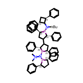 CCCCN(C1[C@H](c2ccccc2)C[C@H]1c1ccccc1)P1[C@H](c2ccccc2)C(C2C[C@@H](c3ccccc3)P(N(N(C)C)P3[C@H](c4ccccc4)CC[C@H]3c3ccccc3)[C@@H]2c2ccccc2)C[C@H]1c1ccccc1